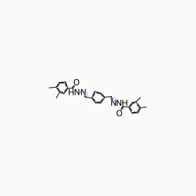 Cc1ccc(C(=O)N/N=C/c2ccc(/C=N/NC(=O)c3ccc(C)c(C)c3)cc2)cc1C